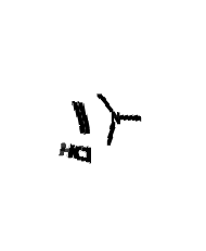 C=C.CN(C)C.Cl